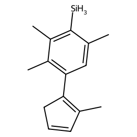 CC1=C(c2cc(C)c([SiH3])c(C)c2C)CC=C1